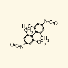 Cc1cc(N=C=O)cc(C)c1-c1c(C)cc(N=C=O)cc1C